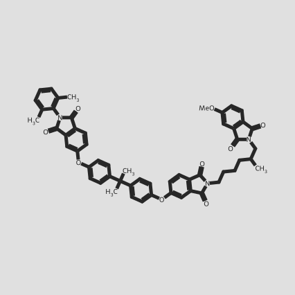 COc1ccc2c(c1)C(=O)N(CC(C)CCCCN1C(=O)c3ccc(Oc4ccc(C(C)(C)c5ccc(Oc6ccc7c(c6)C(=O)N(c6c(C)cccc6C)C7=O)cc5)cc4)cc3C1=O)C2=O